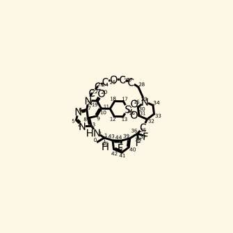 C[C@H]1Nc2ncnc3c2cc(C2CCS(=O)(=O)CC2)c(=O)n3CCCOCCCN2CCC(CC2)CC(F)(F)c2cccc1c2F